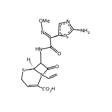 C=C[N+]12C(=O)C(NC(=O)C(=NOC)c3cnc(N)s3)[C@@H]1SCC=C2C(=O)O